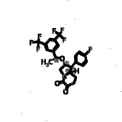 C[C@@H](O[C@H]1CN2C(=O)C(=O)CC[C@H]2[C@@H]1c1ccc(F)cc1)c1cc(C(F)(F)F)cc(C(F)(F)F)c1